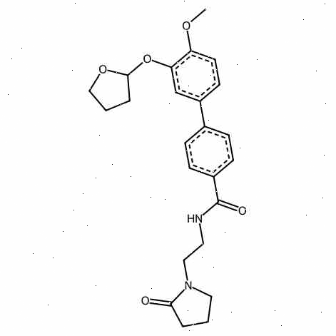 COc1ccc(-c2ccc(C(=O)NCCN3CCCC3=O)cc2)cc1OC1CCCO1